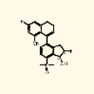 CP(C)(=O)c1ccc(C2=CCCc3cc(F)cc(C#N)c32)c2c1[C@H](O)[C@H](F)C2